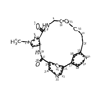 Cn1cc2c(n1)C(=O)NCCOCCCc1cc(ccn1)-c1cncc(c1)C(=O)N2